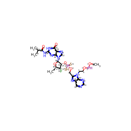 COPOCCn1c(COP(=S)(S)O[C@@H]2[C@H](F)[C@@H](C)O[C@H]2n2cnc3c(=O)[nH]c(NC(=O)C(C)C)nc32)nc2cncnc21